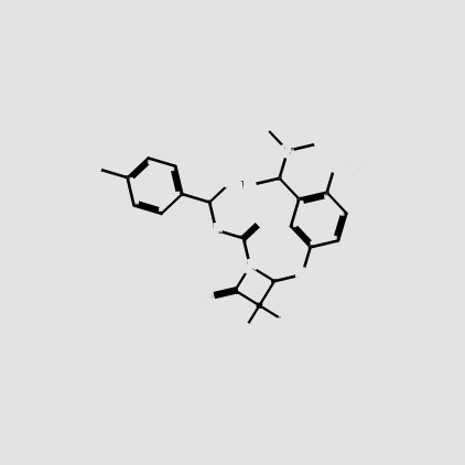 CCCC(NC(=O)N1C(=O)C(CC)(CC)C1Oc1ccc(C(=O)O)c(C(CC)N(C)C)c1)c1ccc(C)cc1